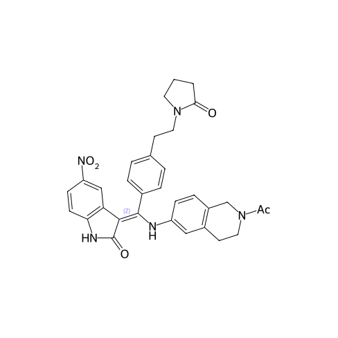 CC(=O)N1CCc2cc(N/C(=C3\C(=O)Nc4ccc([N+](=O)[O-])cc43)c3ccc(CCN4CCCC4=O)cc3)ccc2C1